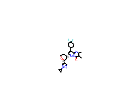 Cc1nc2c(C3CCC(F)(F)CC3)cc([C@H]3CCO[C@@H](c4cnn(C5CC5)c4)C3)nn2c(=O)c1C